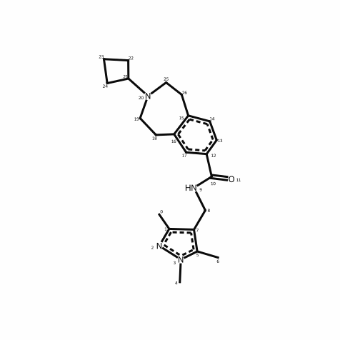 Cc1nn(C)c(C)c1CNC(=O)c1ccc2c(c1)CCN(C1CCC1)CC2